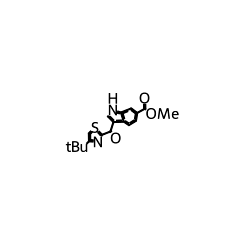 COC(=O)c1ccc2c(C(=O)c3nc(C(C)(C)C)cs3)c[nH]c2c1